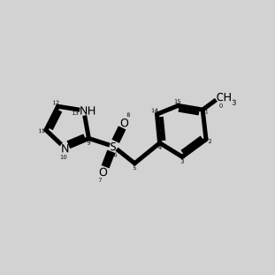 Cc1ccc(CS(=O)(=O)c2ncc[nH]2)cc1